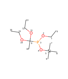 CCOP(O[Si](C)(C)C)C(C)(OCC)OCC